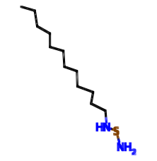 CCCCCCCCCCCCNSN